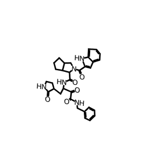 O=C(NCc1ccccc1)C(=O)C(CC1CCNC1=O)NC(=O)C1C2CCCC2CN1C(=O)c1cc2ccccc2[nH]1